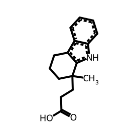 CC1(CCC(=O)O)CCCc2c1[nH]c1ccccc21